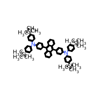 C[Si](C)(C)c1ccc(N(c2ccc(-c3c4ccccc4c(-c4ccc(N(c5ccc([Si](C)(C)C)cc5)c5ccc([Si](C)(C)C)cc5)cc4)c4ccccc34)cc2)c2ccc([Si](C)(C)C)cc2)cc1